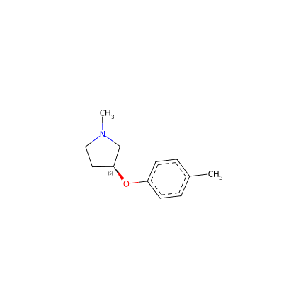 Cc1ccc(O[C@H]2CCN(C)C2)cc1